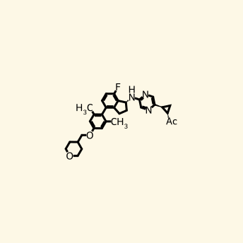 CC(=O)[C@H]1C[C@@H]1c1cnc(N[C@@H]2CCc3c(-c4c(C)cc(OCC5CCOCC5)cc4C)ccc(F)c32)cn1